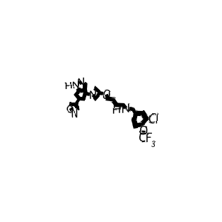 FC(F)(F)Oc1ccc(CNCCCCOC2CN(c3cc(-c4cnoc4)cc4[nH]ncc34)C2)cc1Cl